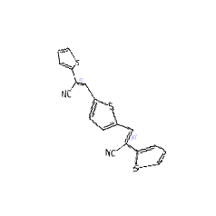 N#C/C(=C\c1ccc(/C=C(\C#N)c2cccs2)s1)c1cccs1